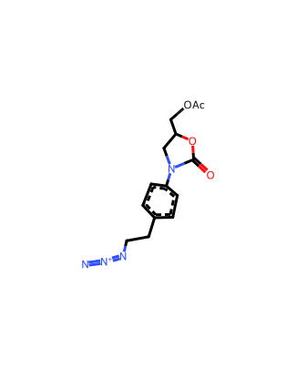 CC(=O)OCC1CN(c2ccc(CCN=[N+]=[N-])cc2)C(=O)O1